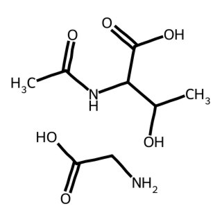 CC(=O)NC(C(=O)O)C(C)O.NCC(=O)O